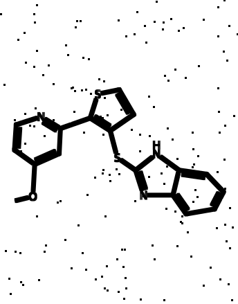 COc1ccnc(-c2sccc2Sc2nc3ccccc3[nH]2)c1